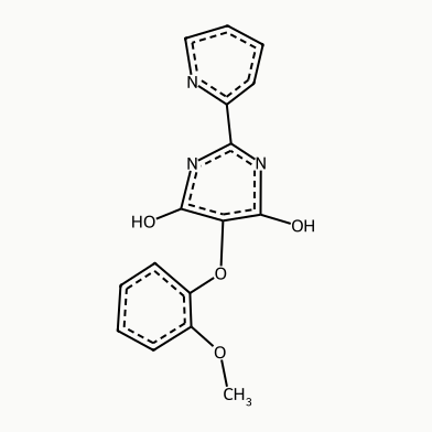 COc1ccccc1Oc1c(O)nc(-c2ccccn2)nc1O